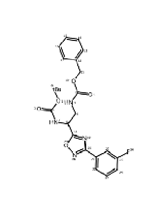 CC(C)(C)OC(=O)NC(CNC(=O)OCc1ccccc1)c1nc(-c2cccc(F)c2)no1